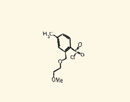 COCCOCc1cc(C)ccc1S(=O)(=O)Cl